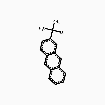 CCC(C)(C)c1ccc2cc3ccccc3cc2c1